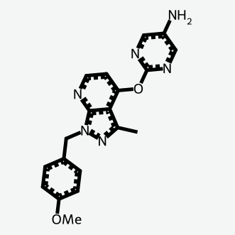 COc1ccc(Cn2nc(C)c3c(Oc4ncc(N)cn4)ccnc32)cc1